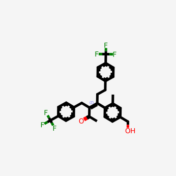 CC(=O)/C(Cc1ccc(C(F)(F)F)cc1)=C(/CCc1ccc(C(F)(F)F)cc1)c1ccc(CO)cc1C